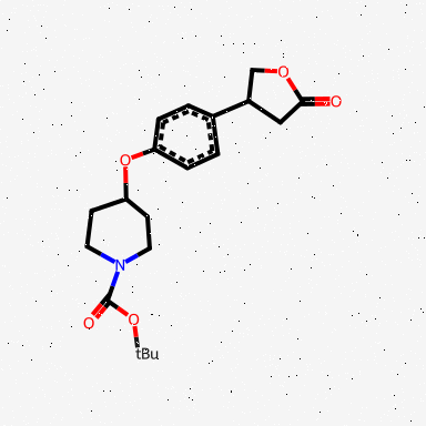 CC(C)(C)OC(=O)N1CCC(Oc2ccc(C3COC(=O)C3)cc2)CC1